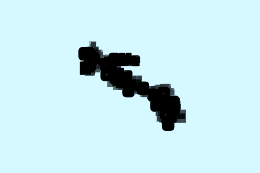 COc1cc(-c2cn(C)c(=O)c3cnccc23)cc(OC)c1CN1CCC2(C[C@@H]2NC(=O)CCOCCOc2cccc3c2C(=O)N(C2CCC(=O)NC2=O)C3=O)C1